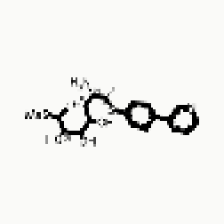 CSC1O[C@H]([C@H](N)[C@H](C)Sc2ccc(-c3cccnc3)cc2)C(O)C(O)[C@H]1O